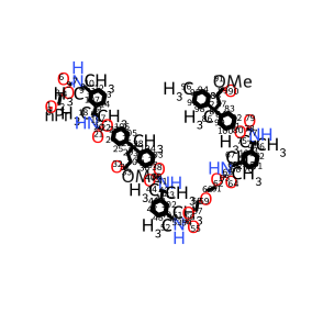 CCCOCCOC(=O)NC(C)(C)c1cccc(C(C)(C)NC(=O)Oc2ccc(C(C)(CCC(=O)OC)c3ccc(OC(=O)NC(C)(C)c4cccc(C(C)(C)NC(=O)OCCOCCOC(=O)NC(C)(C)c5cccc(C(C)(C)NC(=O)Oc6ccc(C(C)(CCC(=O)OC)c7ccc(C)cc7)cc6)c5)c4)cc3)cc2)c1